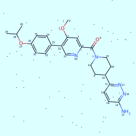 COc1cc(C(=O)N2CCC(c3ccc(N)nn3)CC2)ncc1-c1ccc(OC(C)C)cc1